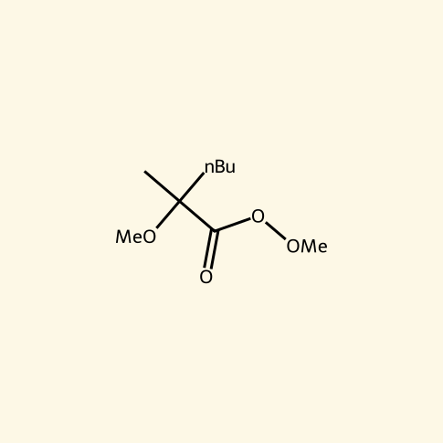 CCCCC(C)(OC)C(=O)OOC